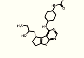 CCC(O)C[C@H]1CCc2sc3ncnc(NC4CCC(NC(=O)O)CC4)c3c21